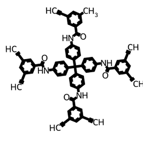 C#Cc1cc(C)cc(C(=O)Nc2ccc(C(c3ccc(NC(=O)c4cc(C#C)cc(C#C)c4)cc3)(c3ccc(NC(=O)c4cc(C#C)cc(C#C)c4)cc3)c3ccc(NC(=O)c4cc(C#C)cc(C#C)c4)cc3)cc2)c1